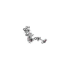 CC[C@H](C)[C@@H]([C@@H](CC(=O)N1CCC[C@H]1[C@H](OC)[C@@H](C)C(=O)N[C@H](C)[C@@H](O)c1ccccc1)OC)N(C)C(=O)[C@@H](NC(=O)[C@H](C(C)C)N(C)C(=O)OCc1ccc(NC(=O)CCCCCN2C(=O)C=CC2=O)cc1)C(C)C